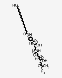 CC(C)C(=O)CC[C@H](NC(=O)CC[C@H](NC(=O)CC[C@H](NC(=O)[C@H]1CC[C@H](CNC(=O)CCCCCCCCCCCCCCCCCO)CC1)C(=O)O)C(=O)O)C(=O)O